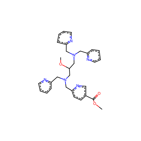 COC(=O)c1ccc(CN(Cc2ccccn2)CC(CN(Cc2ccccn2)Cc2ccccn2)OC)nc1